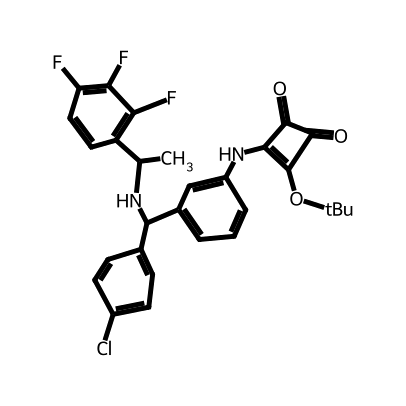 CC(NC(c1ccc(Cl)cc1)c1cccc(Nc2c(OC(C)(C)C)c(=O)c2=O)c1)c1ccc(F)c(F)c1F